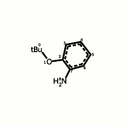 CC(C)(C)Oc1c[c]ccc1N